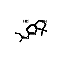 CC[C@H](C)Oc1ccc2c(n1)C(C)(C)CNC2.Cl